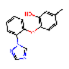 Cc1ccc(Oc2ccccc2-n2cncn2)c(O)c1